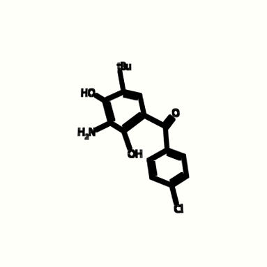 CC(C)(C)c1cc(C(=O)c2ccc(Cl)cc2)c(O)c(N)c1O